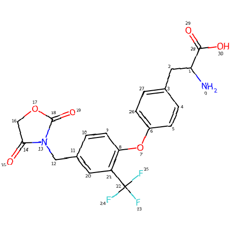 NC(Cc1ccc(Oc2ccc(CN3C(=O)COC3=O)cc2C(F)(F)F)cc1)C(=O)O